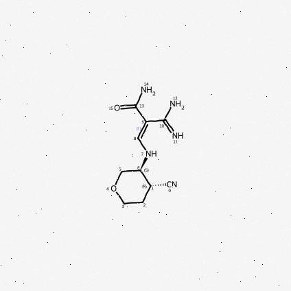 N#C[C@@H]1CCOC[C@H]1N/C=C(\C(=N)N)C(N)=O